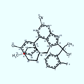 CC(O)(c1ccccc1F)c1nc2nc(C#N)nc(-c3cncc(Cl)c3)c2n1C[C@H]1CC[C@H](C)CC1